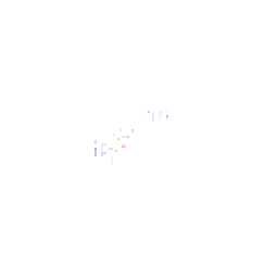 Cc1nn(C)c(C)c1NS(=O)(=O)c1cc(F)c(CCCN2CCN(C)CC2)cc1F